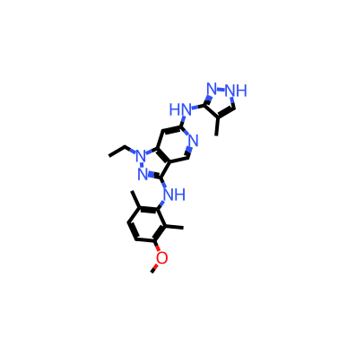 CCn1nc(Nc2c(C)ccc(OC)c2C)c2cnc(Nc3n[nH]cc3C)cc21